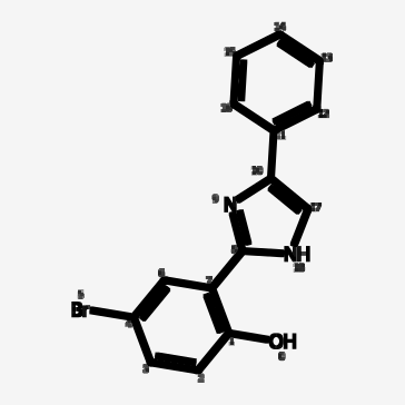 Oc1ccc(Br)cc1-c1nc(-c2ccccc2)c[nH]1